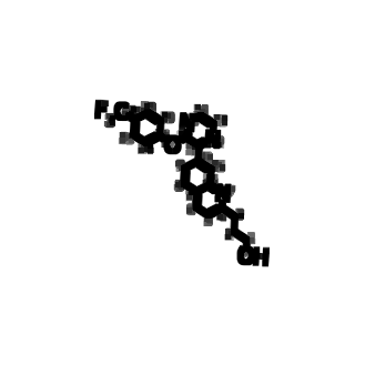 OCCCc1ccc2ccc(-c3nccnc3Oc3ccc(C(F)(F)F)cc3)cc2n1